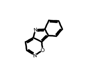 c1ccc2c3onccc-3nc2c1